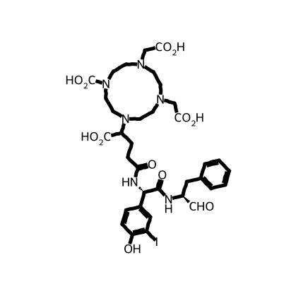 O=C[C@H](Cc1ccccc1)NC(=O)[C@@H](NC(=O)CCC(C(=O)O)N1CCN(CC(=O)O)CCN(CC(=O)O)CCN(C(=O)O)CC1)c1ccc(O)c(I)c1